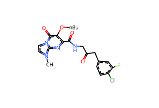 CCCCOc1c(C(=O)NCC(=O)Cc2ccc(Cl)c(F)c2)nc2n(C)ccn2c1=O